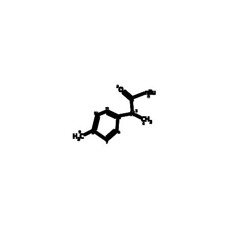 CCCCC(=O)N(C)c1ccc(C)cc1